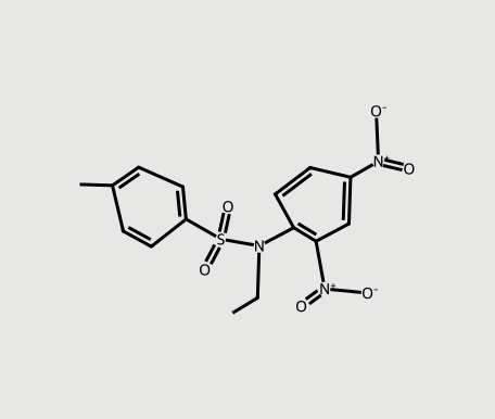 CCN(c1ccc([N+](=O)[O-])cc1[N+](=O)[O-])S(=O)(=O)c1ccc(C)cc1